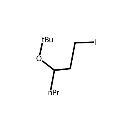 CCCC(CCI)OC(C)(C)C